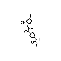 C=CC(=O)Nc1ccc(C(=O)NCc2ccc(I)cc2Cl)cc1